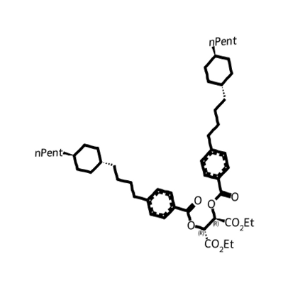 CCCCC[C@H]1CC[C@H](CCCCc2ccc(C(=O)O[C@@H](C(=O)OCC)[C@@H](OC(=O)c3ccc(CCCC[C@H]4CC[C@H](CCCCC)CC4)cc3)C(=O)OCC)cc2)CC1